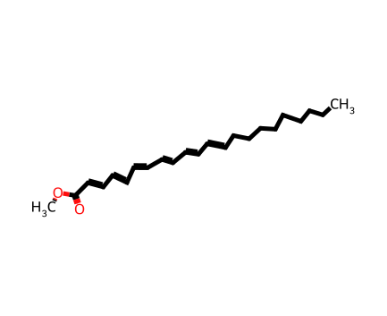 CCCCCCCCC/C=C/C=C/C=C/C=C/C=C/C=C/C(=O)OC